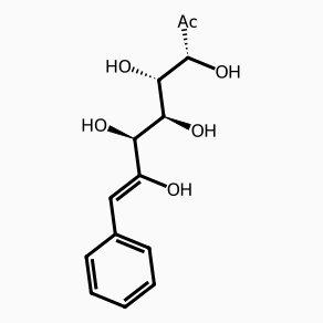 CC(=O)[C@H](O)[C@@H](O)[C@@H](O)[C@H](O)C(O)=Cc1ccccc1